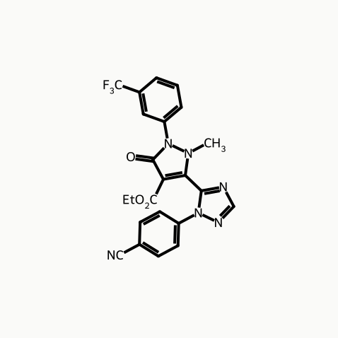 CCOC(=O)c1c(-c2ncnn2-c2ccc(C#N)cc2)n(C)n(-c2cccc(C(F)(F)F)c2)c1=O